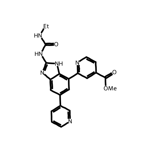 CCNC(=O)Nc1nc2cc(-c3cccnc3)cc(-c3cc(C(=O)OC)ccn3)c2[nH]1